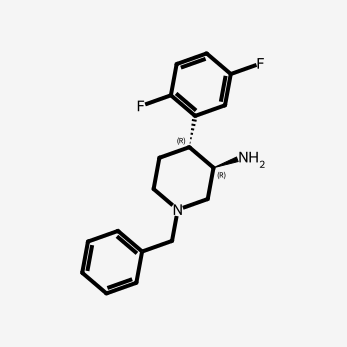 N[C@H]1CN(Cc2ccccc2)CC[C@@H]1c1cc(F)ccc1F